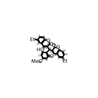 CCc1ccc2oc(=O)c(C(c3ccc(OC)cc3)c3c(O)c4cc(CC)ccc4oc3=O)c(O)c2c1